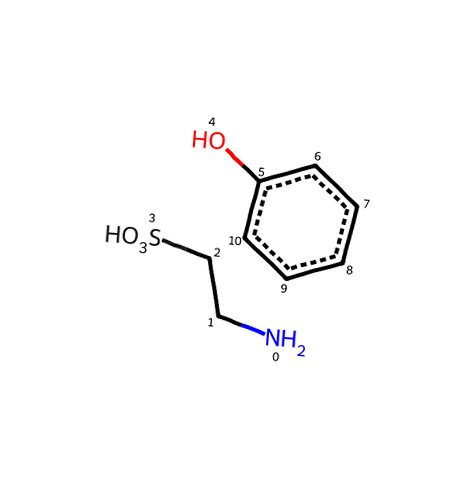 NCCS(=O)(=O)O.Oc1ccccc1